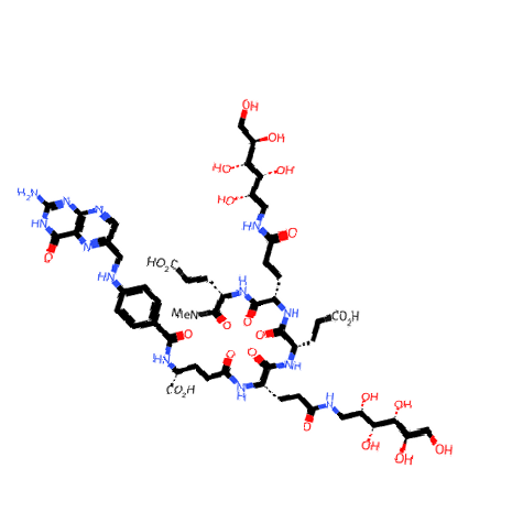 CNC(=O)[C@H](CCC(=O)O)NC(=O)[C@H](CCC(=O)NC[C@H](O)[C@@H](O)[C@H](O)[C@H](O)CO)NC(=O)[C@H](CCC(=O)O)NC(=O)[C@H](CCC(=O)NC[C@H](O)[C@@H](O)[C@H](O)[C@H](O)CO)NC(=O)CC[C@@H](NC(=O)c1ccc(NCc2cnc3nc(N)[nH]c(=O)c3n2)cc1)C(=O)O